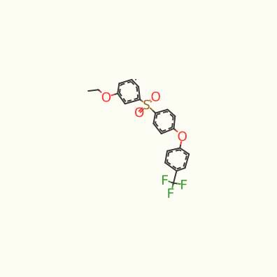 CCOc1c[c]cc(S(=O)(=O)c2ccc(Oc3ccc(C(F)(F)F)cc3)cc2)c1